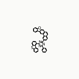 c1ccc(-c2nc(-c3ccc4ccc5cc6oc7ccccc7c6cc5c4c3)nc(-c3cccc4sc5ccccc5c34)n2)cc1